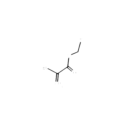 C=C(CC)C(=O)OCF